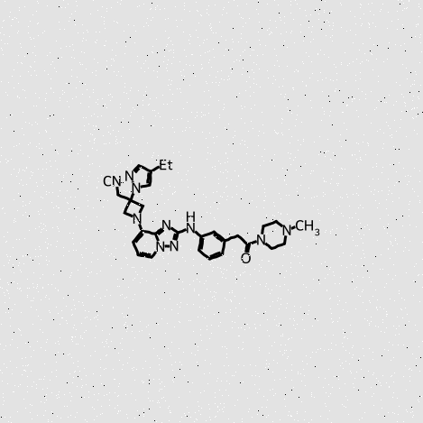 CCc1cnn(C2(CC#N)CN(c3cccn4nc(Nc5cccc(CC(=O)N6CCN(C)CC6)c5)nc34)C2)c1